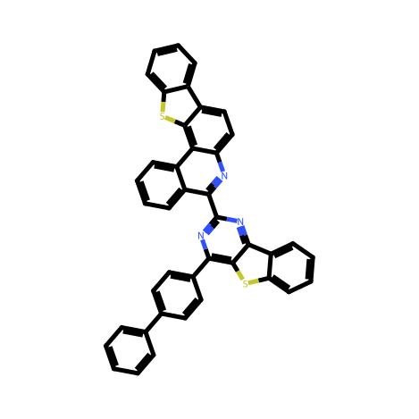 c1ccc(-c2ccc(-c3nc(-c4nc5ccc6c7ccccc7sc6c5c5ccccc45)nc4c3sc3ccccc34)cc2)cc1